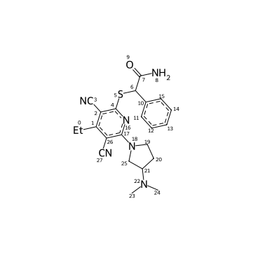 CCc1c(C#N)c(SC(C(N)=O)c2ccccc2)nc(N2CCC(N(C)C)C2)c1C#N